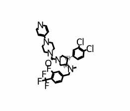 CN(Cc1ccc(C(F)(F)F)c(F)c1)[C@H]1CN(C(=O)N2CCN(c3ccncc3)CC2)C[C@@H]1c1ccc(Cl)c(Cl)c1